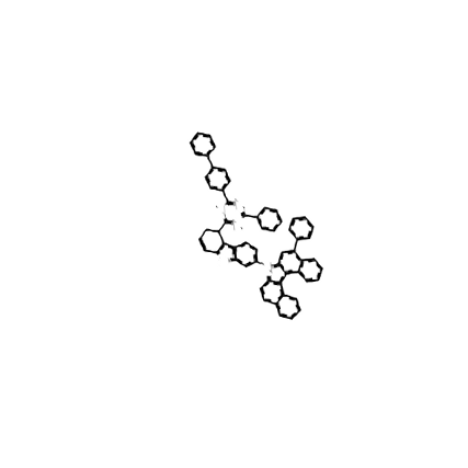 C1=Cc2oc3cc(-n4c5ccc6ccccc6c5c5c6ccccc6c(-c6ccccc6)cc54)ccc3c2C(c2nc(-c3ccccc3)nc(-c3ccc(-c4ccccc4)cc3)n2)C1